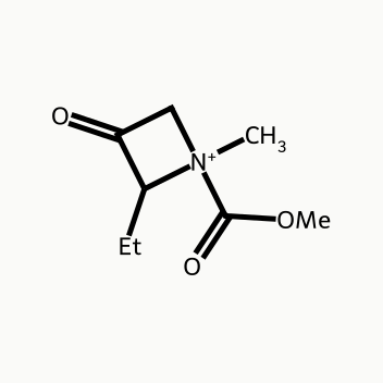 CCC1C(=O)C[N+]1(C)C(=O)OC